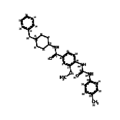 COc1cc(C(=O)NC2CCN(Cc3ccccc3)CC2)ccc1NC(=O)Nc1cnc(C)cn1